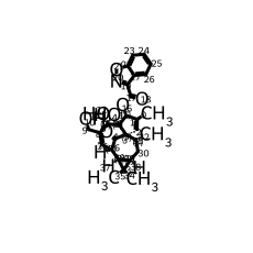 CC1=C[C@]23C(=O)[C@@H](C=C(CO)[C@@H](O)[C@]2(O)[C@H]1OC(=O)c1noc2ccccc12)[C@H]1[C@@H](C[C@H]3C)C1(C)C